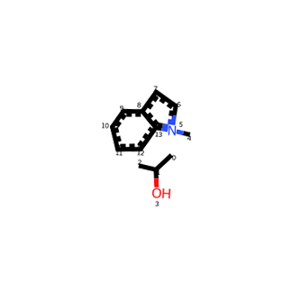 CC(C)O.Cn1ccc2ccccc21